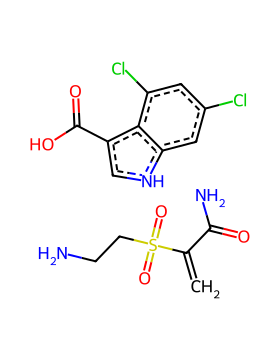 C=C(C(N)=O)S(=O)(=O)CCN.O=C(O)c1c[nH]c2cc(Cl)cc(Cl)c12